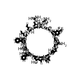 CCCC[C@H]1C(=O)N(C)[C@@H](CCCC)C(=O)N[C@@H](CCCNC(=N)N)C(=O)N[C@H](C(=O)NCC(N)=O)CSCC(=O)N[C@@H](Cc2cccc(C(F)(F)F)c2)C(=O)N(C)[C@@H](C)C(=O)N[C@@H](CC(N)=O)C(=O)N2CCC[C@H]2C(=O)N[C@@H](Cc2cnc[nH]2)C(=O)N[C@@H](CC(C)C)C(=O)N2C[C@H](O)CC2C(=O)N[C@@H](Cc2c[nH]c3ccccc23)C(=O)N[C@@H](CO)C(=O)N[C@@H](Cc2c[nH]c3ccccc23)C(=O)N1C